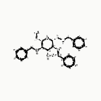 CCS[C@@H]1O[C@H](COCc2ccccc2)[C@@H](OCc2ccccc2)[C@H](NC(C)=O)[C@H]1OCc1ccccc1